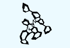 c1ccc(-c2ccc3c4ccc(-c5ccccc5)cc4n(B4c5ccccc5-n5c6ccc7ccccc7c6c6c7ccccc7cc4c65)c3c2)cc1